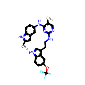 Cc1cc2cc(Nc3nc(NCCc4c[nH]c5ccc(OC(F)(F)F)cc45)ncc3C)ccc2[nH]1